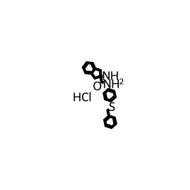 Cl.NC1(C(=O)Nc2ccc(SCc3ccccc3)cc2)Cc2ccccc2C1